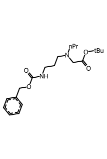 CCCN(CCCNC(=O)OCc1ccccc1)CC(=O)OC(C)(C)C